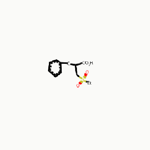 CCS(=O)(=O)CC(Cc1ccccc1)C(=O)O